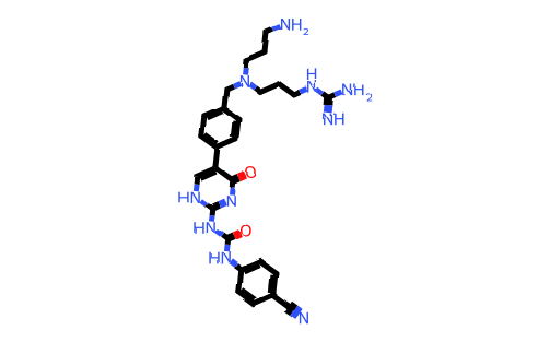 N#Cc1ccc(NC(=O)Nc2nc(=O)c(-c3ccc(CN(CCCN)CCCNC(=N)N)cc3)c[nH]2)cc1